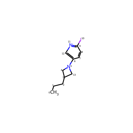 CCCC1CN(c2ccc(I)nc2)C1